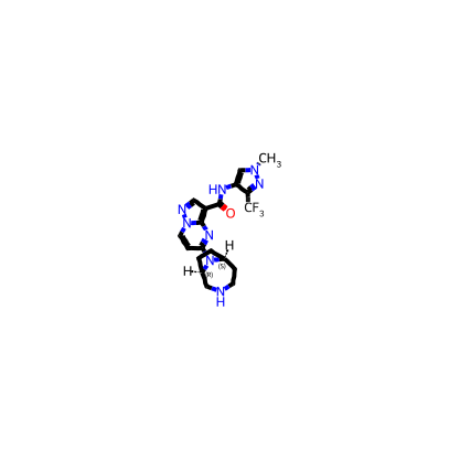 Cn1cc(NC(=O)c2cnn3ccc(N4[C@@H]5CCNC[C@H]4CC5)nc23)c(C(F)(F)F)n1